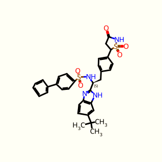 CC(C)(C)c1ccc2nc([C@H](Cc3ccc(C4CC(=O)NS4(=O)=O)cc3)NS(=O)(=O)c3ccc(-c4ccccc4)cc3)[nH]c2c1